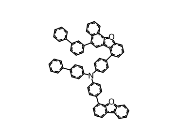 c1ccc(-c2ccc(N(c3ccc(-c4cccc5c4oc4ccccc45)cc3)c3ccc(-c4cccc5oc6c7ccccc7c(-c7cccc(-c8ccccc8)c7)cc6c45)cc3)cc2)cc1